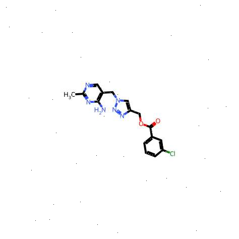 Cc1ncc(Cn2cc(COC(=O)c3cccc(Cl)c3)nn2)c(N)n1